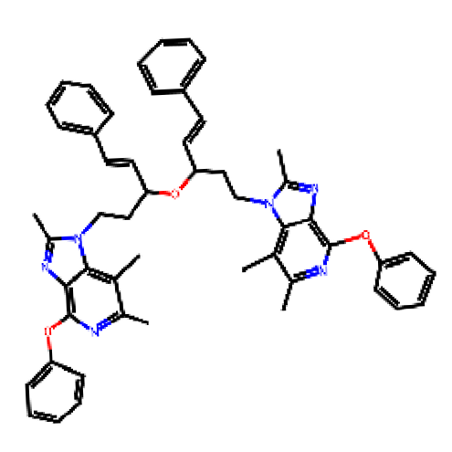 Cc1nc(Oc2ccccc2)c2nc(C)n(CCC(/C=C/c3ccccc3)OC(/C=C/c3ccccc3)CCn3c(C)nc4c(Oc5ccccc5)nc(C)c(C)c43)c2c1C